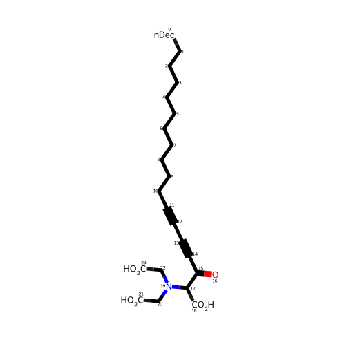 CCCCCCCCCCCCCCCCCCCCC#CC#CC(=O)C(C(=O)O)N(CC(=O)O)CC(=O)O